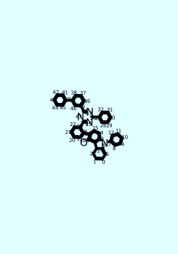 C1=CCC2C(=C1)N(c1ccccc1)c1ccc3c(oc4cccc(-c5nc(-c6ccccc6)nc(-c6cccc(-c7ccccc7)c6)n5)c43)c12